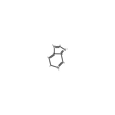 [C]1=NCC=C2N=CN=C12